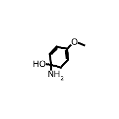 COC1=CCC(N)(O)C=C1